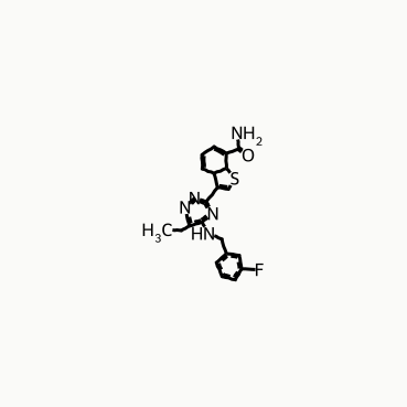 CCc1nnc(C2=CSC3C(C(N)=O)=CC=CC23)nc1NCc1cccc(F)c1